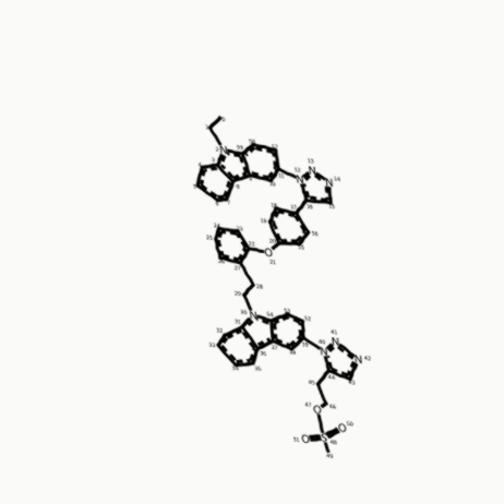 CCn1c2ccccc2c2cc(-n3nncc3-c3ccc(Oc4ccccc4CCn4c5ccccc5c5cc(-n6nncc6CCOS(C)(=O)=O)ccc54)cc3)ccc21